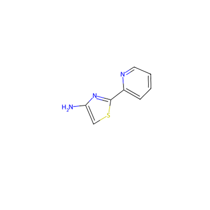 Nc1csc(-c2ccccn2)n1